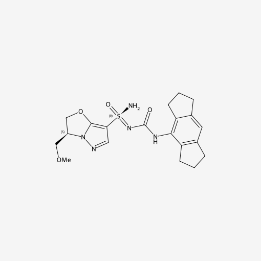 COC[C@H]1COc2c([S@](N)(=O)=NC(=O)Nc3c4c(cc5c3CCC5)CCC4)cnn21